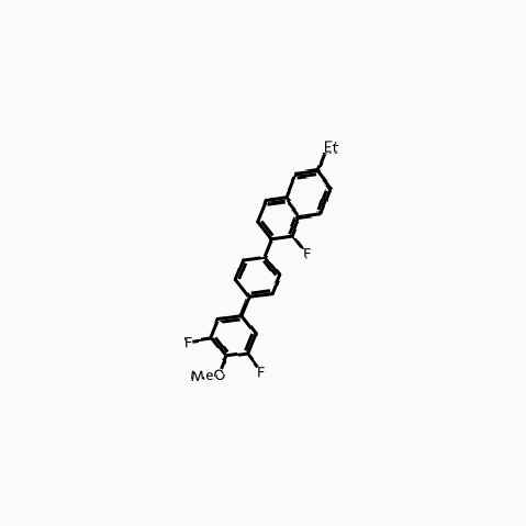 CCc1ccc2c(F)c(-c3ccc(-c4cc(F)c(OC)c(F)c4)cc3)ccc2c1